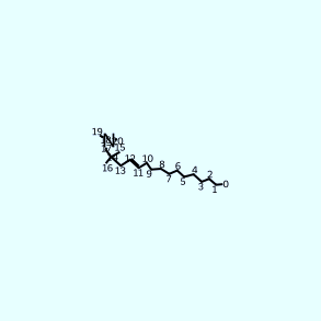 CCCCCCCCCCCC=CCC(C)(C)CN(C)C